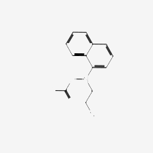 CC(=O)ON(CCN)c1cccc2ccccc12